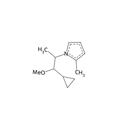 COC(C1CC1)C(C)n1cccc1C